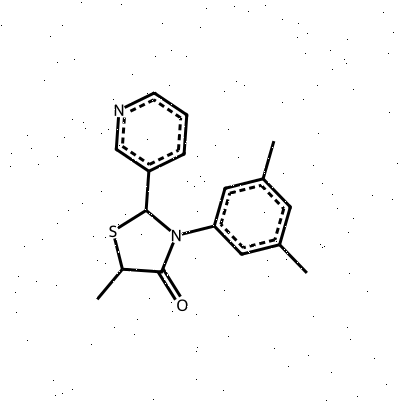 Cc1cc(C)cc(N2C(=O)C(C)SC2c2cccnc2)c1